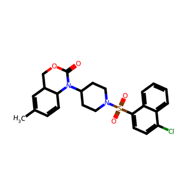 CC1=CC2COC(=O)N(C3CCN(S(=O)(=O)c4ccc(Cl)c5ccccc45)CC3)C2C=C1